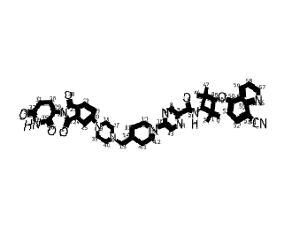 CC1(C)[C@H](NC(=O)c2cnc(N3CCC(CN4CCN(c5ccc6c(c5)C(=O)N(C5CCC(=O)NC5=O)C6=O)CC4)CC3)cn2)C(C)(C)[C@H]1Oc1ccc(C#N)c2ncccc12